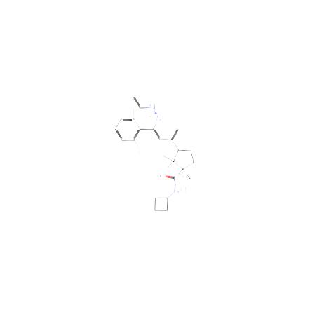 C=C/N=N\C(=C/C(=C)C1CC[C@](C)(C(=O)NC2CCC2)C1(C)C)c1c(F)cccc1F